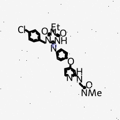 CCn1c(=O)[nH]/c(=N\c2ccc(Oc3ccnc(NCC(=O)NC)c3)cc2)n(Cc2ccc(Cl)cc2)c1=O